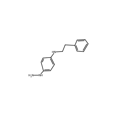 NNc1ccc(NCCc2ccccc2)cc1